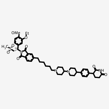 CCOc1cc([C@@H](CS(C)(=O)=O)N2C(=O)c3ccc(CCCCCCN4CCC(N5CCC(c6ccc(C7CCC(=O)NC7=O)cc6)CC5)CC4)cc3C2=O)ccc1OC